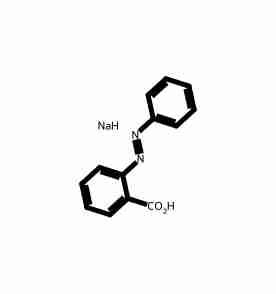 O=C(O)c1ccccc1N=Nc1ccccc1.[NaH]